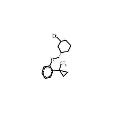 CCC1CCC[C@H](COc2ccccc2C2(C(F)(F)F)CC2)C1